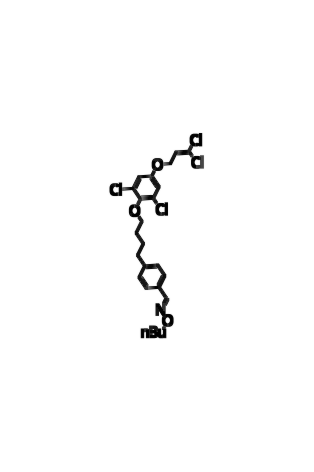 CCCCO/N=C/c1ccc(CCCCOc2c(Cl)cc(OCC=C(Cl)Cl)cc2Cl)cc1